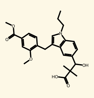 CCCn1cc(Cc2ccc(C(=O)OC)cc2OC)c2cc(C(O)C(C)(C)C(=O)O)ccc21